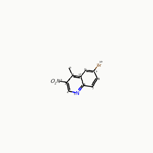 Cc1c([N+](=O)[O-])cnc2ccc(Br)cc12